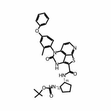 Cc1cc(Oc2ccccc2)ccc1N1C(=O)Nc2c(C(=O)N[C@@H]3CCC[C@@H]3NC(=O)OC(C)(C)C)sc3nccc1c23